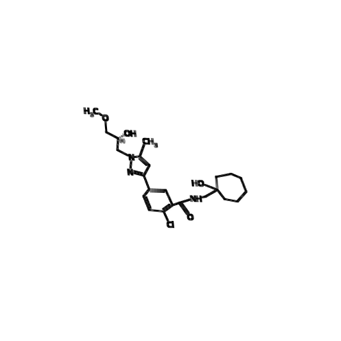 COC[C@H](O)Cn1nc(-c2ccc(Cl)c(C(=O)NCC3(O)CCCCCC3)c2)cc1C